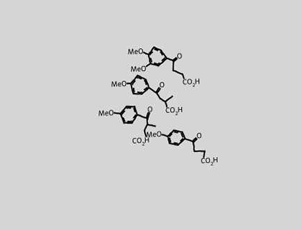 COc1ccc(C(=O)C(C)CC(=O)O)cc1.COc1ccc(C(=O)CC(C)C(=O)O)cc1.COc1ccc(C(=O)CCC(=O)O)cc1.COc1ccc(C(=O)CCC(=O)O)cc1OC